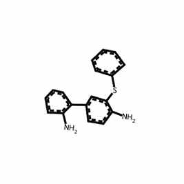 Nc1ccc(-c2ccccc2N)cc1Sc1ccccc1